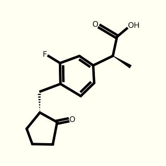 C[C@H](C(=O)O)c1ccc(C[C@H]2CCCC2=O)c(F)c1